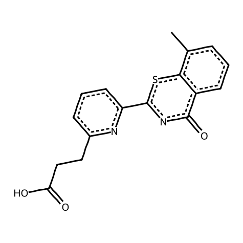 Cc1cccc2c(=O)nc(-c3cccc(CCC(=O)O)n3)sc12